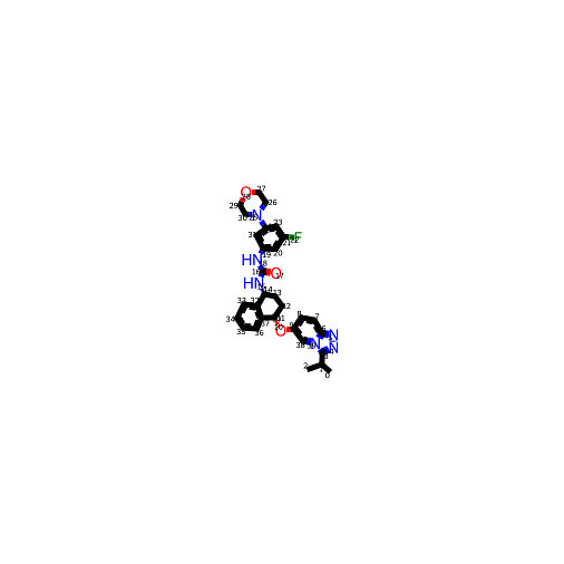 CC(C)c1nnc2ccc(O[C@@H]3CC[C@H](NC(=O)Nc4cc(F)cc(N5CCOCC5)c4)c4ccccc43)cn12